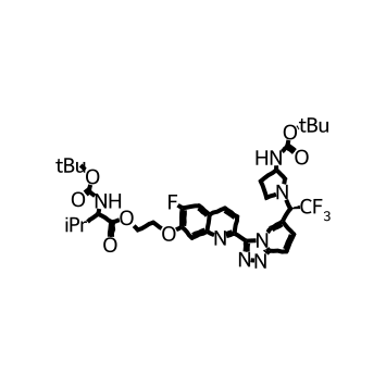 CC(C)C(NC(=O)OC(C)(C)C)C(=O)OCCOc1cc2nc(-c3nnc4ccc([C@@H](N5CCC(NC(=O)OC(C)(C)C)C5)C(F)(F)F)cn34)ccc2cc1F